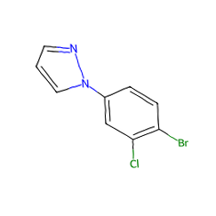 Clc1cc(-n2cccn2)ccc1Br